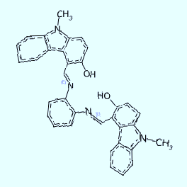 Cn1c2ccccc2c2c(/C=N/c3ccccc3/N=C/c3c(O)ccc4c3c3ccccc3n4C)c(O)ccc21